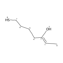 CC=C(O)CCCCS